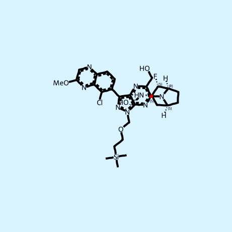 COc1cnc2ccc(-c3nn(COCC[Si](C)(C)C)c4nc(N5[C@H]6CC[C@@H]5[C@@H](F)[C@@H](NC(=O)O)C6)c(CO)nc34)c(Cl)c2n1